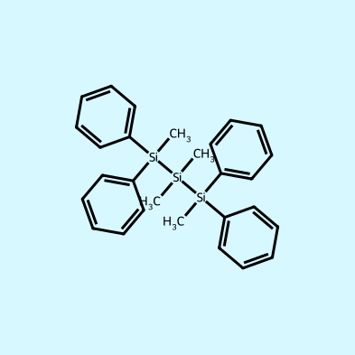 C[Si](c1ccccc1)(c1ccccc1)[Si](C)(C)[Si](C)(c1ccccc1)c1ccccc1